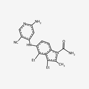 CCc1c(Nc2cc(N)ncc2C#N)ccc2c1c(CC)c(C)n2C(N)=O